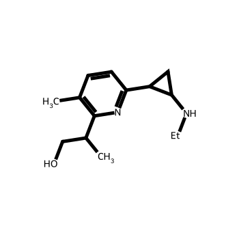 CCNC1CC1c1ccc(C)c(C(C)CO)n1